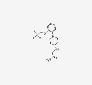 NC(=O)CNC1CCN(c2ccccc2OCC(F)(F)F)CC1